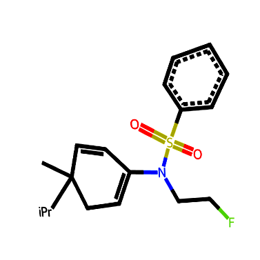 CC(C)C1(C)C=CC(N(CCF)S(=O)(=O)c2ccccc2)=CC1